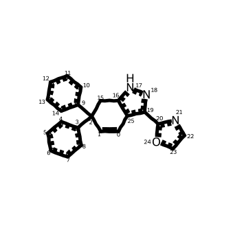 C1=CC(c2ccccc2)(c2ccccc2)Cc2[nH]nc(-c3ncco3)c21